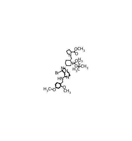 COC(=O)C1CCCN1C[C@@H]1CC[C@@H](c2nc(Br)c3c(NCc4ccc(OC)cc4OC)nccn23)CN1C(=O)OC(C)(C)C